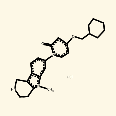 Cl.Cn1c2c(c3ccc(-n4ccc(OCC5CCCCC5)cc4=O)cc31)CNCC2